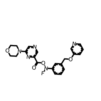 O=C(ON(F)c1cccc(COc2cccnc2)c1)c1cncc(N2CCOCC2)n1